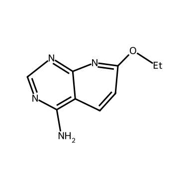 CCOc1ccc2c(N)ncnc2n1